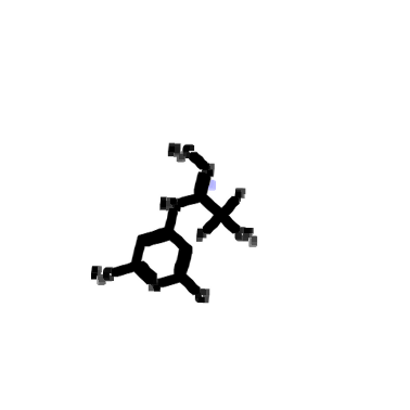 C/N=C(\Nc1cc(Cl)nc(C(F)(F)F)c1)C(F)(F)C(F)(F)F